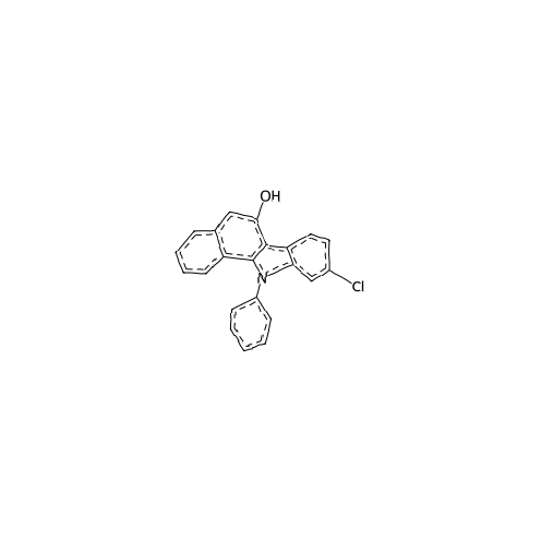 Oc1cc2ccccc2c2c1c1ccc(Cl)cc1n2-c1ccccc1